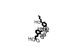 CCCCC(O)c1cccc(N(NCc2cccc(CCC(=O)O)c2[N+](=O)[O-])S(C)(=O)=O)c1